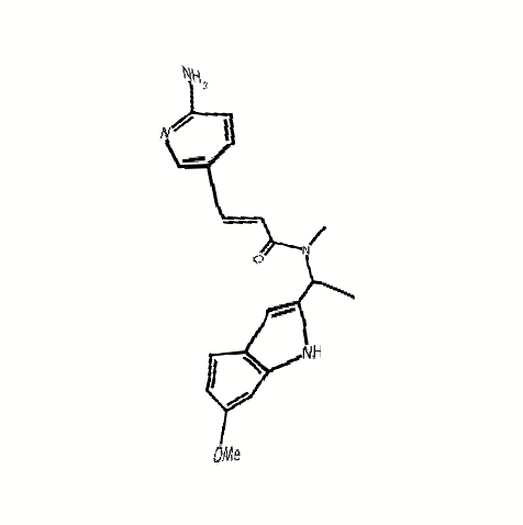 COc1ccc2cc(C(C)N(C)C(=O)C=Cc3ccc(N)nc3)[nH]c2c1